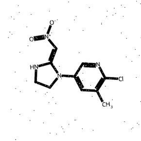 Cc1cc(N2CCN/C2=C\[N+](=O)[O-])cnc1Cl